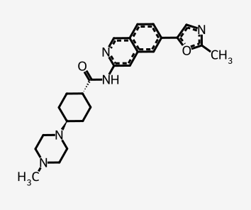 Cc1ncc(-c2ccc3cnc(NC(=O)[C@H]4CC[C@H](N5CCN(C)CC5)CC4)cc3c2)o1